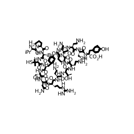 CC[C@H](C)[C@H](NC(=O)[C@@H]1CCCN1C(=O)[C@@H](N)C(C)C)C(=O)N[C@H](C(=O)N[C@@H](Cc1ccc(O)cc1)C(=O)N[C@@H](CO)C(=O)N[C@@H](CC(N)=O)C(=O)N[C@@H](CCCNC(=N)N)C(=O)N[C@@H](CCN)C(=O)N[C@H](C(=O)N[C@H](CCN)C(=O)N[C@@H](CCCCN)C(=O)N[C@@H](CCN)C(=O)N[C@@H](CCN)C(=O)N[C@@H](CS)C(=O)N[C@@H](Cc1ccc(O)cc1)C(=O)O)[C@@H](C)O)C(C)(C)S